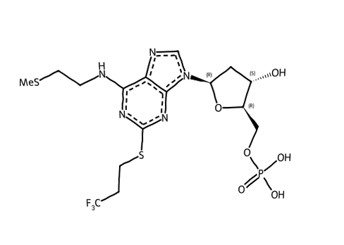 CSCCNc1nc(SCCC(F)(F)F)nc2c1ncn2[C@H]1C[C@H](O)[C@@H](COP(=O)(O)O)O1